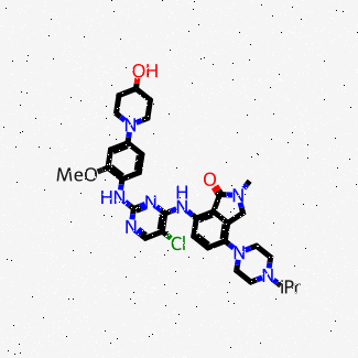 COc1cc(N2CCC(O)CC2)ccc1Nc1ncc(Cl)c(Nc2ccc(N3CCN(C(C)C)CC3)c3c2C(=O)N(C)C3)n1